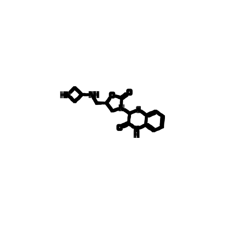 O=C1Nc2ccccc2SC1N1C[C@@H](CNC2CNC2)OC1=O